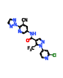 N#Cc1cc(NC(=O)c2cnn(-c3ccnc(Cl)c3)c2C(F)(F)F)cnc1-n1nccn1